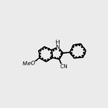 COc1ccc2[nH]c(-c3ccccc3)c(C#N)c2c1